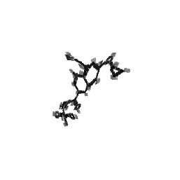 CS(=O)(=O)NC(=O)c1cnc2c(Br)cc(OC3CC3)cc2c1